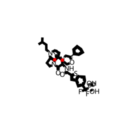 CC(C)CCN1CCC(CC(NC(=O)c2cc3cc(C(F)(F)P(=O)(O)O)ccc3s2)C(=O)N2CCC[C@H]2C(=O)N2CCO[C@H](c3ccccc3)C2)CC1